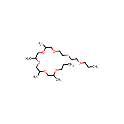 CCCOCCOCCOCC(C)OCC(C)OCC(C)OCC(C)OCCC